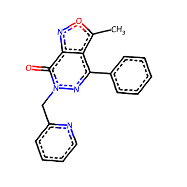 Cc1onc2c(=O)n(Cc3ccccn3)nc(-c3ccccc3)c12